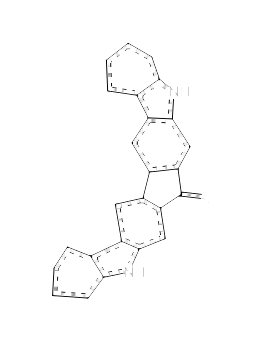 O=C1c2cc3[nH]c4ccccc4c3cc2-c2cc3c(cc21)[nH]c1ccccc13